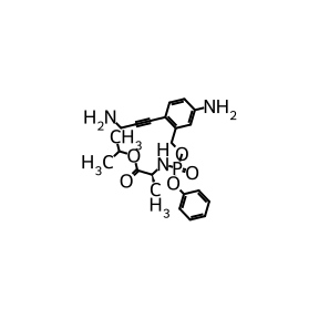 CC(C)OC(=O)[C@H](C)NP(=O)(OCc1cc(N)ccc1C#CCN)Oc1ccccc1